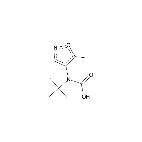 Cc1oncc1N(C(=O)O)C(C)(C)C